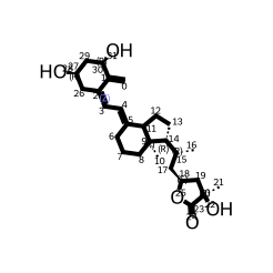 C=C1/C(=C\C=C2CCC[C@@]3(C)C2CC[C@@H]3[C@H](C)C[C@H]2C[C@@](C)(O)C(=O)O2)C[C@@H](O)C[C@H]1O